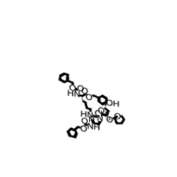 C[C@]1(NCCCC[C@H](NC(=O)OCc2ccccc2)C(=O)OCc2ccccc2)N=C(NC(=O)OCc2ccccc2)C=CN1[C@@H]1O[C@H](CO)CC1OC1CCCCO1